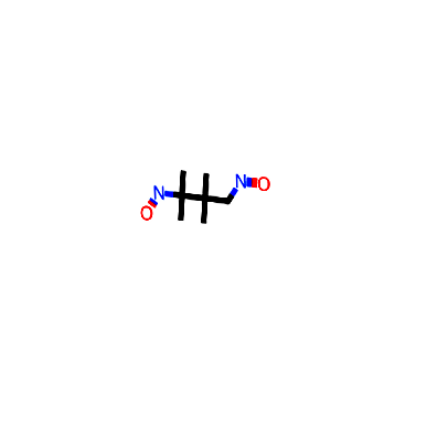 CC(C)(CN=O)C(C)(C)N=O